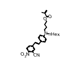 C=C(C)C(=O)OCCCCN(CCCCCC)c1ccc(C=Cc2ccc([N+](=O)[O-])c(C#N)c2)cc1